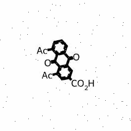 CC(=O)c1cccc2c1C(=O)c1c(C(C)=O)cc(C(=O)O)cc1C2=O